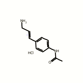 CC(=O)Nc1ccc(/C=C/CN)cc1.Cl